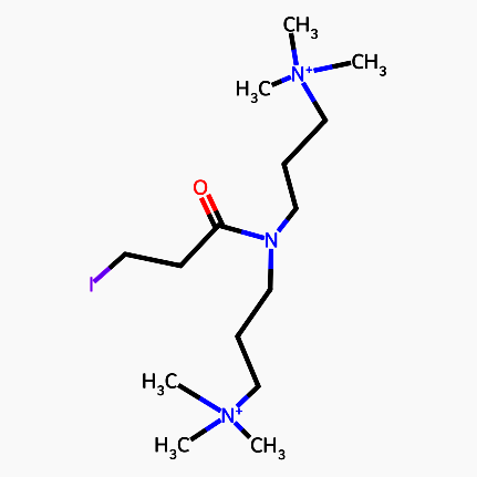 C[N+](C)(C)CCCN(CCC[N+](C)(C)C)C(=O)CCI